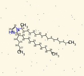 CCCCCCCCCCCCCCCCC(C)[n+]1cc[nH]c1C(CCCCC)CCCCCCCCCCCC